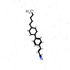 CCCCCC1CCC(c2ccc(C=CC#N)cc2)CC1